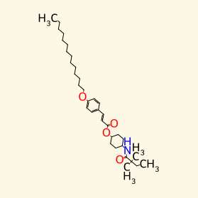 CCCCCCCCCCCCCCOc1ccc(/C=C/C(=O)OC2CCC(NC(=O)C(C)(C)CC)CC2)cc1